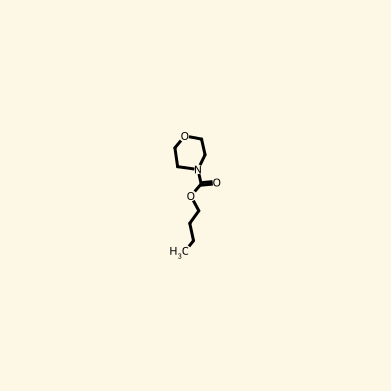 CCCCOC(=O)N1CCOCC1